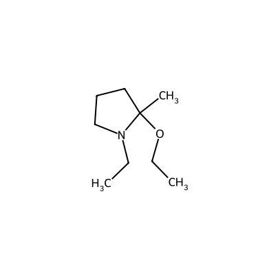 CCOC1(C)CCCN1CC